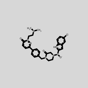 CN(C)CCn1nc(-c2ccc(CN3CCN([S+]([O-])c4cc5cc(Cl)ccc5[nH]4)CC3=O)cc2)ccc1=O